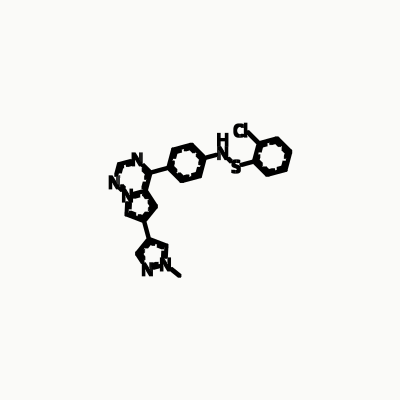 Cn1cc(-c2cc3c(-c4ccc(NSc5ccccc5Cl)cc4)ncnn3c2)cn1